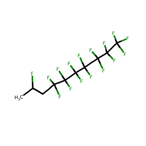 CC(F)CC(F)(F)C(F)(F)C(F)(F)C(F)(F)C(F)(F)C(F)(F)C(F)(F)F